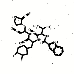 CC(C)C(NC(=O)c1cc2ccccc2[nH]1)C(=C=O)NC(CC1CCC(F)C(F)C1)C(=C=O)NC(C=C=O)C[C@@H]1CCNC1=C=O